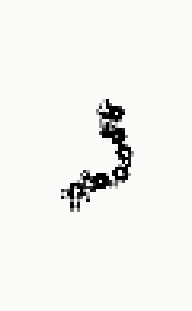 CC1(C)c2cc(C3CCN(CC4CCC(Nc5ccc6c(c5)C(=O)N(C5CCC(=O)NC5=O)C6=O)CC4)CC3)ccc2-n2c1nc(=O)c1c(Cl)cccc12